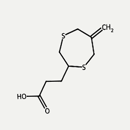 C=C1CSCC(CCC(=O)O)SC1